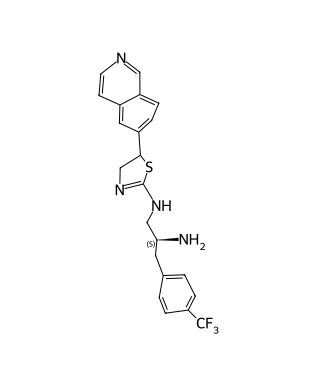 N[C@H](CNC1=NCC(c2ccc3cnccc3c2)S1)Cc1ccc(C(F)(F)F)cc1